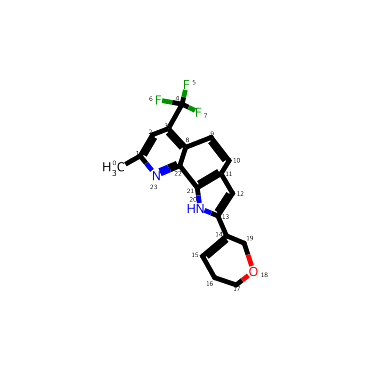 Cc1cc(C(F)(F)F)c2ccc3cc(C4=CCCOC4)[nH]c3c2n1